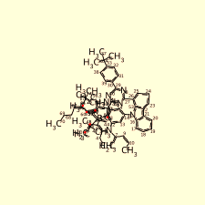 C=CC1=C(CC)N(C(=C)/C=C\C)c2cc(-n3c4ccccc4c4cccc(-c5nc(-c6ccc(C(C)(C)C)cc6)nc(-c6ccc(C(C)(C)C)cc6)n5)c43)cc(NC(=C)/C=C\C)c2B1/C=C/C(=C\CCC)C(C)(C)C